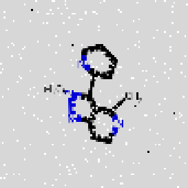 Cc1nccc2nn(C)c(-c3ccccn3)c12